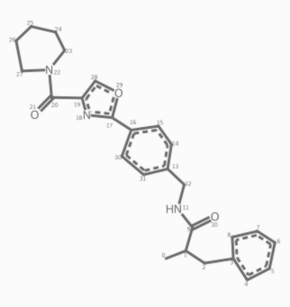 CC(Cc1ccccc1)C(=O)NCc1ccc(-c2nc(C(=O)N3CCCCC3)co2)cc1